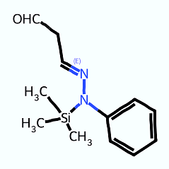 C[Si](C)(C)N(/N=C/CC=O)c1ccccc1